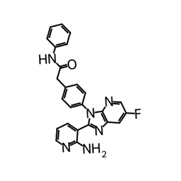 Nc1ncccc1-c1nc2cc(F)cnc2n1-c1ccc(CC(=O)Nc2ccccc2)cc1